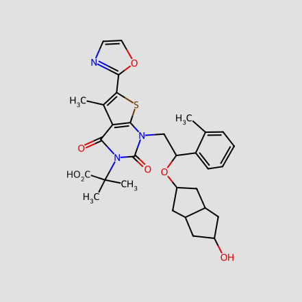 Cc1ccccc1C(Cn1c(=O)n(C(C)(C)C(=O)O)c(=O)c2c(C)c(-c3ncco3)sc21)OC1CC2CC(O)CC2C1